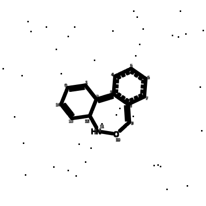 C1=CC2=c3ccccc3=CONC2C=C1